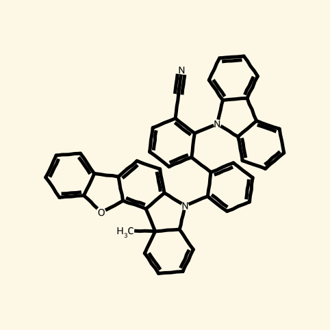 CC12C=CC=CC1N(c1ccccc1-c1cccc(C#N)c1-n1c3ccccc3c3ccccc31)c1ccc3c(oc4ccccc43)c12